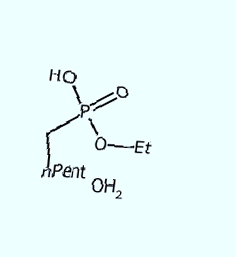 CCCCCCP(=O)(O)OCC.O